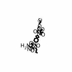 CCCN1C(=O)C(=C(N)N)C(=O)N(C2CCC3(CC2)CC(N2C(=O)N(COCC[Si](C)(C)C)C(=O)C24COC4)C3)C1=O